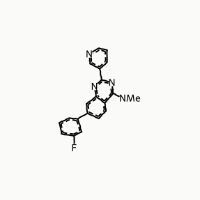 CNc1nc(-c2cccnc2)nc2cc(-c3cccc(F)c3)ccc12